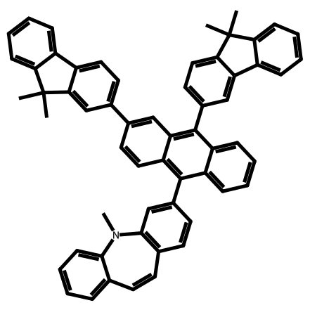 CN1c2ccccc2C=Cc2ccc(-c3c4ccccc4c(-c4ccc5c(c4)-c4ccccc4C5(C)C)c4cc(-c5ccc6c(c5)C(C)(C)c5ccccc5-6)ccc34)cc21